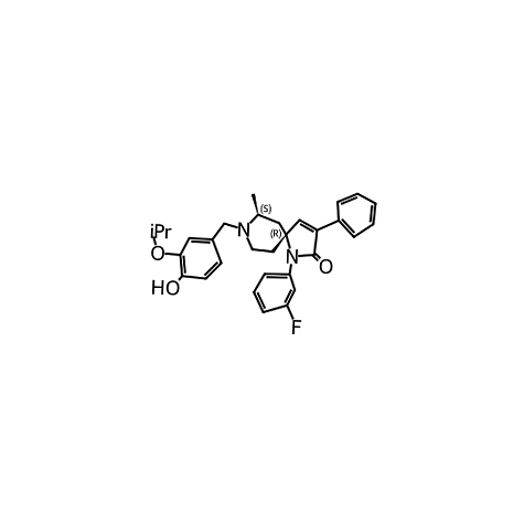 CC(C)Oc1cc(CN2CC[C@]3(C=C(c4ccccc4)C(=O)N3c3cccc(F)c3)C[C@@H]2C)ccc1O